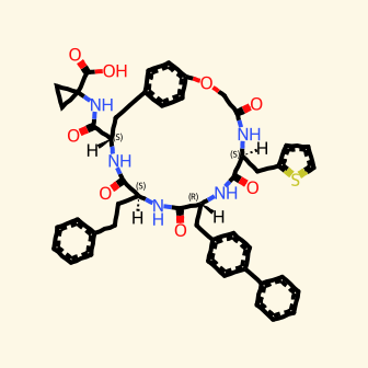 O=C1COc2ccc(cc2)C[C@@H](C(=O)NC2(C(=O)O)CC2)NC(=O)[C@H](CCc2ccccc2)NC(=O)[C@@H](Cc2ccc(-c3ccccc3)cc2)NC(=O)[C@H](Cc2cccs2)N1